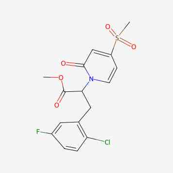 COC(=O)C(Cc1cc(F)ccc1Cl)n1ccc(S(C)(=O)=O)cc1=O